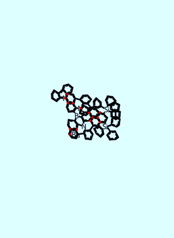 CC(C)(C)c1ccc2c(c1)N(c1c(-c3ccccc3)cccc1-c1ccccc1)c1cc(-c3cc([Si](c4ccccc4)(c4ccccc4)c4cccc(-c5ccccc5)c4)cc([Si](c4ccccc4)(c4ccccc4)c4cccc(-c5ccccc5)c4)c3)cc3c1B2c1ccc(-n2c4ccccc4c4ccccc42)cc1N3c1c(-c2ccccc2)cccc1-c1ccccc1